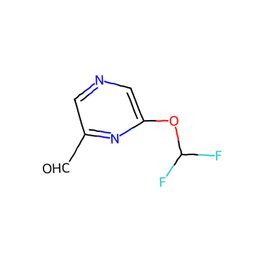 O=Cc1cncc(OC(F)F)n1